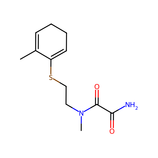 CC1=CCCC=C1SCCN(C)C(=O)C(N)=O